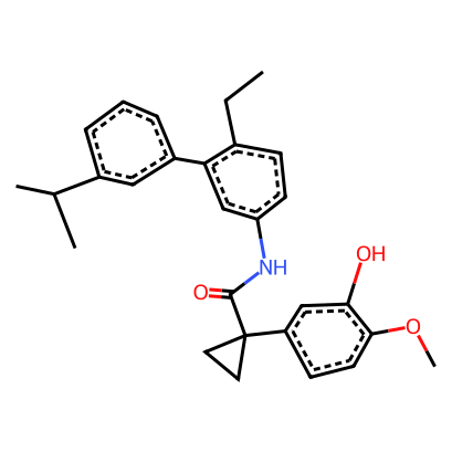 CCc1ccc(NC(=O)C2(c3ccc(OC)c(O)c3)CC2)cc1-c1cccc(C(C)C)c1